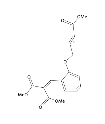 COC(=O)/C=C/COc1ccccc1C=C(C(=O)OC)C(=O)OC